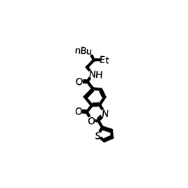 CCCCC(CC)CNC(=O)c1ccc2nc(-c3cccs3)oc(=O)c2c1